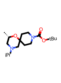 CC(C)N1C[C@H](C)OC2(CCN(C(=O)OC(C)(C)C)CC2)C1